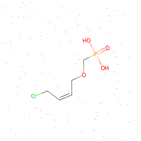 O=P(O)(O)COC/C=C\CCl